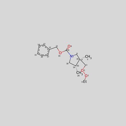 CCOOC[C@]1(C)CN(C(=O)OCc2ccccc2)C[C@H]1C